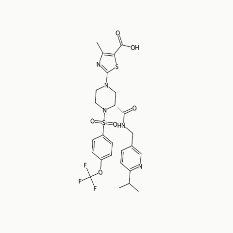 Cc1nc(N2CCN(S(=O)(=O)c3ccc(OC(F)(F)F)cc3)[C@@H](C(=O)NCc3ccc(C(C)C)nc3)C2)sc1C(=O)O